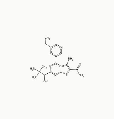 CCc1cncc(-c2nc(C(O)C(C)(C)N)nc3sc(C(N)=O)c(N)c23)c1